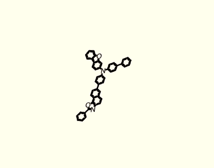 c1ccc(-c2ccc(N(c3ccc(-c4ccc5c(ccc6nc(-c7ccccc7)oc65)c4)cc3)c3ccc4c(c3)oc3ccccc34)cc2)cc1